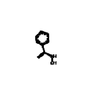 C=C(NO)c1ccccc1